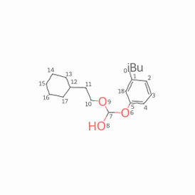 CCC(C)c1cccc(OC(O)OCCC2CCCCC2)c1